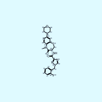 CN1C(=O)[C@@H](NC(=O)c2ncn(Cc3ccccc3F)n2)CSc2cc(N3CCOCC3)ncc21